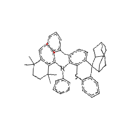 CC1(C)CCC(C)(C)c2c(N(c3ccccc3)c3c(-c4ccccc4)ccc4c3Sc3ccccc3C43C4CC5CC(C4)C3C5)cccc21